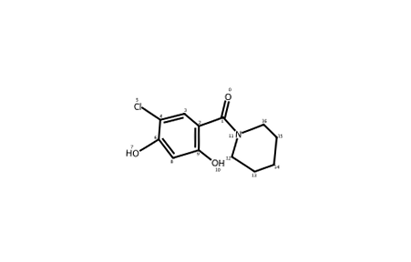 O=C(c1cc(Cl)c(O)cc1O)N1CCCCC1